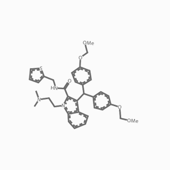 COCOc1ccc(C(c2ccc(OCOC)cc2)c2c(C(=O)NCc3cccs3)n(CCN(C)C)c3ccccc23)cc1